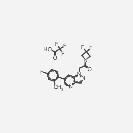 Cc1cc(F)ccc1-c1cnc2cnn(CC(=O)N3CC(F)(F)C3)c2c1.O=C(O)C(F)(F)F